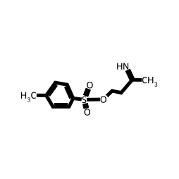 CC(=N)CCOS(=O)(=O)c1ccc(C)cc1